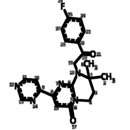 CC1(C)CCn2c(nc(-c3ccncn3)cc2=O)N1CC(=O)c1ccc(F)cc1